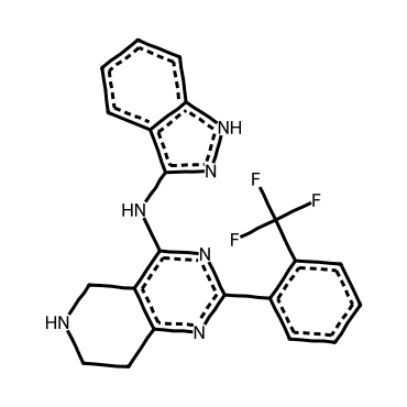 FC(F)(F)c1ccccc1-c1nc2c(c(Nc3n[nH]c4ccccc34)n1)CNCC2